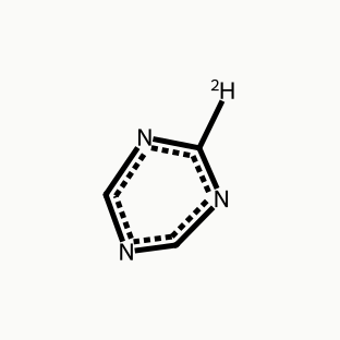 [2H]c1ncncn1